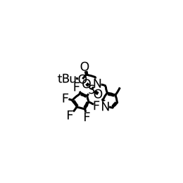 Cc1ccncc1CN(CC(=O)OC(C)(C)C)S(=O)(=O)c1c(F)c(F)c(F)c(F)c1F